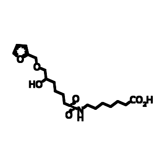 O=C(O)CCCCCCNS(=O)(=O)CCCCC(O)COCc1ccco1